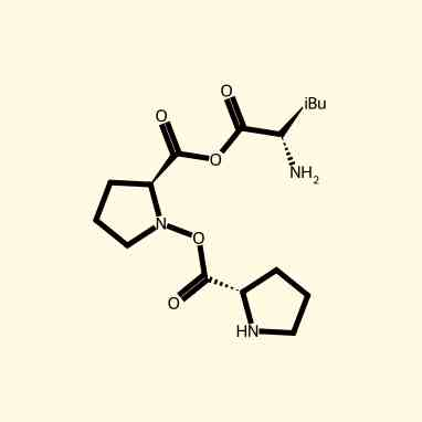 CC[C@H](C)[C@H](N)C(=O)OC(=O)[C@@H]1CCCN1OC(=O)[C@@H]1CCCN1